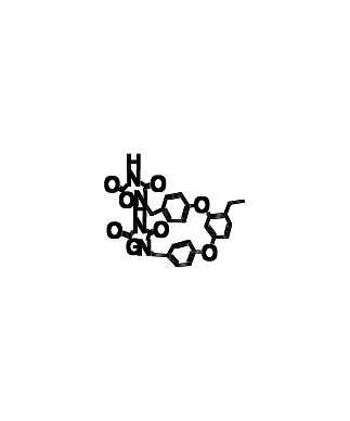 CCc1ccc(Oc2ccc(Cn3oc(=O)[nH]c3=O)cc2)cc1Oc1ccc(Cn2oc(=O)[nH]c2=O)cc1